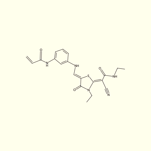 C=CC(=O)Nc1cccc(NC=c2sc(=C(C#N)C(=O)NCC)n(CC)c2=O)c1